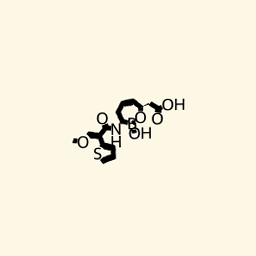 CO/C=C(/C(=O)N[C@H]1CC=C[C@H](CC(=O)O)OB1O)c1cccs1